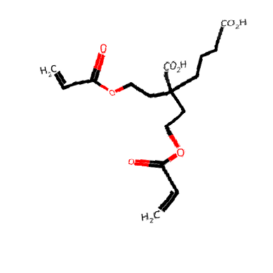 C=CC(=O)OCCC(CCCC(=O)O)(CCOC(=O)C=C)C(=O)O